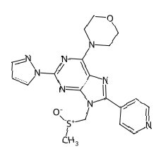 C[S+]([O-])Cn1c(-c2ccncc2)nc2c(N3CCOCC3)nc(-n3cccn3)nc21